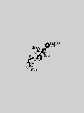 C[C@@H](CC(F)(F)COc1cc(N(C(=O)OC(C)(C)C)c2cc([C@H]3CC[C@@H](O[Si](C)(C)C(C)(C)C)C3)nn2C(C)(C)C)ccn1)NC(=O)OC(C)(C)C